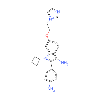 Nc1ccc(-c2c(N)c3ccc(OCCn4ccnc4)cc3n2C2CCC2)cc1